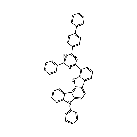 c1ccc(-c2ccc(-c3nc(-c4ccccc4)nc(-c4cccc5c4sc4c5ccc5c4c4ccccc4n5-c4ccccc4)n3)cc2)cc1